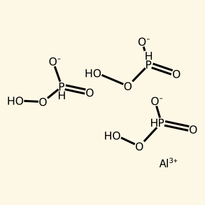 O=[PH]([O-])OO.O=[PH]([O-])OO.O=[PH]([O-])OO.[Al+3]